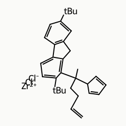 C=CCCC(C)(c1c(C(C)(C)C)ccc2c1Cc1cc(C(C)(C)C)ccc1-2)C1C=CC=C1.[Cl-].[Cl-].[Zr+2]